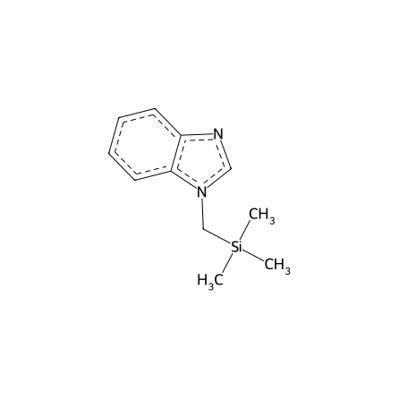 C[Si](C)(C)Cn1cnc2ccccc21